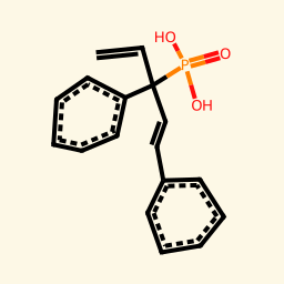 C=CC(C=Cc1ccccc1)(c1ccccc1)P(=O)(O)O